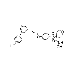 O=C(NO)C1(S(=O)(=O)c2ccc(OCCCc3cccc(-c4ccc(O)cc4)c3)cc2)CCOCC1